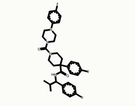 CC(C)C(NC(=O)C1(c2ccc(F)cc2)CCN(C(=O)N2CCN(c3ccc(F)cc3)CC2)CC1)c1ccc(F)cc1